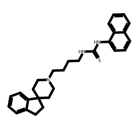 S=C(NCCCCN1CCC2(CCc3ccccc32)CC1)Nc1cccc2ccccc12